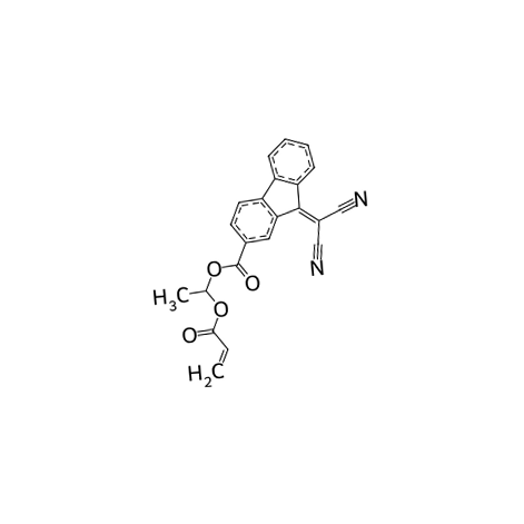 C=CC(=O)OC(C)OC(=O)c1ccc2c(c1)C(=C(C#N)C#N)c1ccccc1-2